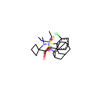 CCN(CC)C(=O)C12CC3CC(C1)C(NC(=O)C1(N(C)S(=O)(=O)c4ccccc4Cl)CCC1)C(C3)C2